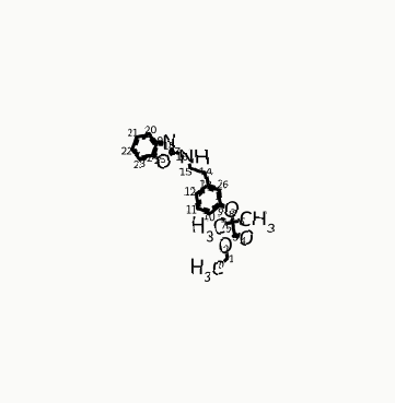 CCOC(=O)C(C)(C)Oc1cccc(CCNc2nc3ccccc3o2)c1